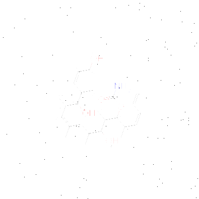 C=C/C=C\C(C)C(OC(N)=O)C(C)C(O)C(C)C/C(C)=C\C(C)C(O)C(C)/C=C\CO